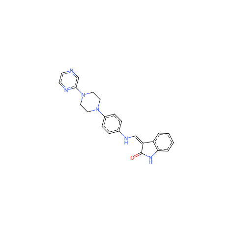 O=C1Nc2ccccc2C1=CNc1ccc(N2CCN(c3cnccn3)CC2)cc1